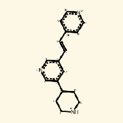 C(=C\c1cncc(C2CCNCC2)c1)/c1ccncc1